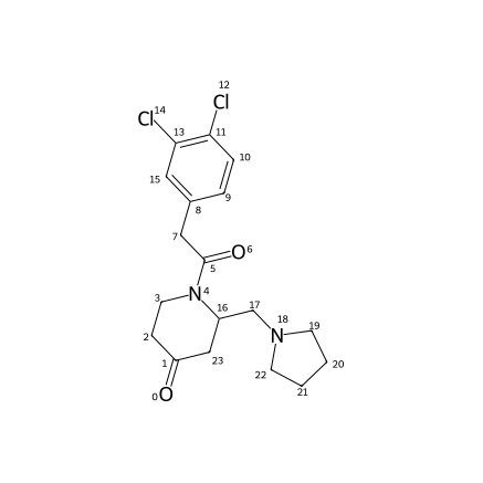 O=C1CCN(C(=O)Cc2ccc(Cl)c(Cl)c2)C(CN2CCCC2)C1